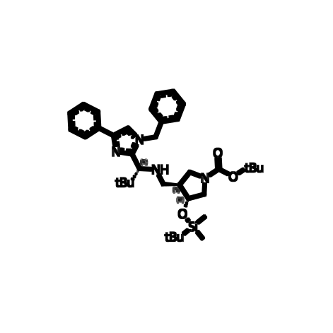 CC(C)(C)OC(=O)N1C[C@H](CN[C@@H](c2nc(-c3ccccc3)cn2Cc2ccccc2)C(C)(C)C)[C@@H](O[Si](C)(C)C(C)(C)C)C1